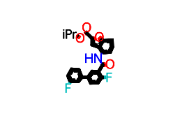 CC(C)OC(=O)c1cc2c(NC(=O)c3cc(-c4cccc(F)c4)ccc3F)cccc2o1